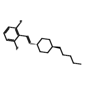 CCCCC[C@H]1CC[C@H](C=Cc2c(F)cccc2F)CC1